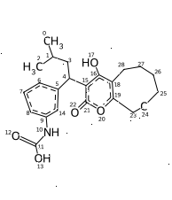 CC(C)CC(c1cccc(NC(=O)O)c1)c1c(O)c2c(oc1=O)CCCCCC2